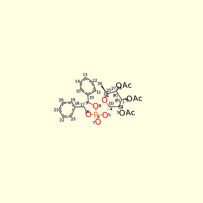 CC(=O)O[C@H]1[C@H](OC(C)=O)[C@H](OP(=O)(OCc2ccccc2)OCc2ccccc2)O[C@@H](C)[C@H]1OC(C)=O